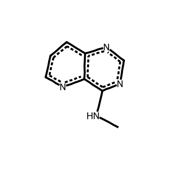 CNc1ncnc2cccnc12